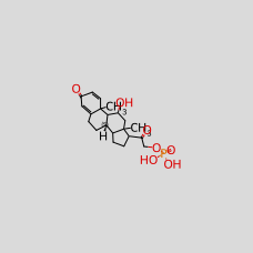 CC12C=CC(=O)C=C1CC[C@@H]1C2C(O)CC2(C)C(C(=O)COP(=O)(O)O)CCC12